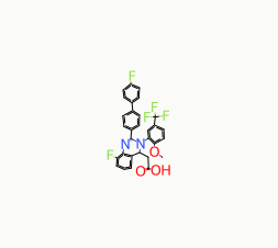 COc1ccc(C(F)(F)F)cc1N1C(c2ccc(-c3ccc(F)cc3)cc2)=Nc2c(F)cccc2C1CC(=O)O